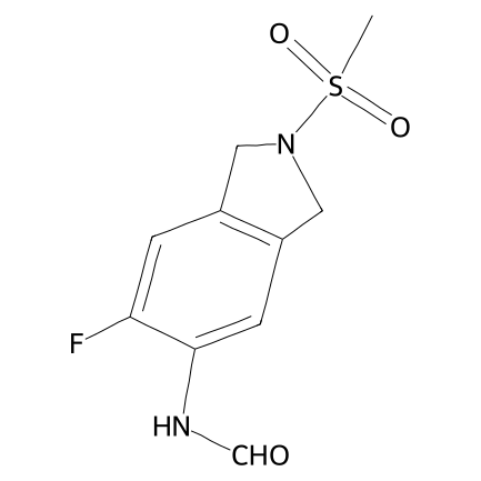 CS(=O)(=O)N1Cc2cc(F)c(NC=O)cc2C1